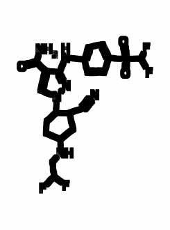 N#CC1CC(NCC(F)F)CCC1n1cc(C(N)=O)c(Nc2ccc(S(=O)(=O)C(F)F)cc2)n1